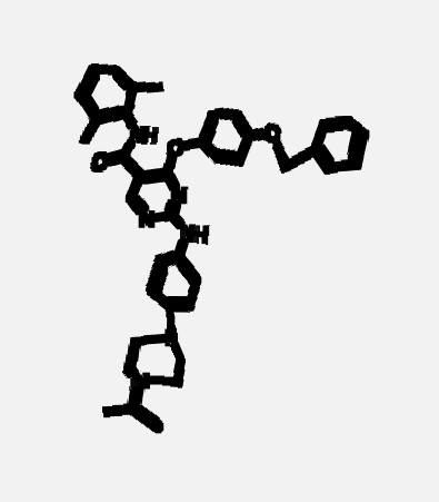 Cc1cccc(C)c1NC(=O)c1cnc(Nc2ccc(N3CCN(C(C)C)CC3)cc2)nc1Oc1ccc(OCc2ccccc2)cc1